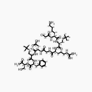 CC(C)(C)SCC(NC(=O)[C@H](CC(=O)O)NC(=O)CNC(=O)[C@H](CCCNC(=N)N)NC(=O)[C@H](CSC(C)(C)C)NC(=O)[C@H](CCCCN)NC(=O)CCl)C(=O)N[C@@H](Cc1ccccc1)C(=O)N[C@@H](CS)C(N)=O